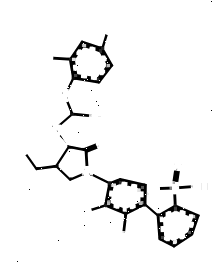 CP(C)(=O)c1ccccc1-c1ccc(N2CC(CO)[C@@H](NC(O)Nc3ccc(Cl)cc3F)C2=O)c(F)c1F